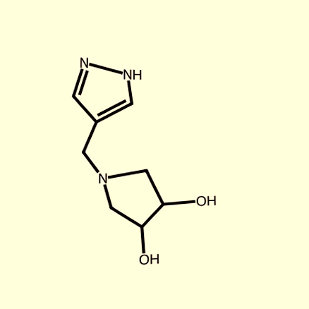 OC1CN(Cc2cn[nH]c2)CC1O